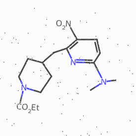 CCOC(=O)N1CCC(Cc2nc(N(C)C)ccc2[N+](=O)[O-])CC1